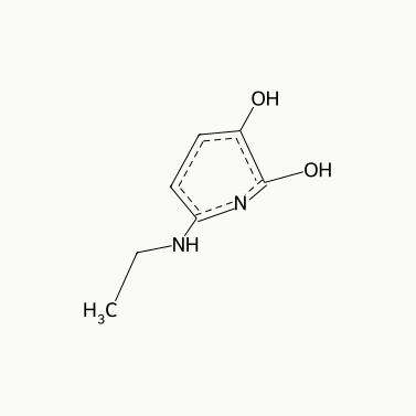 CCNc1ccc(O)c(O)n1